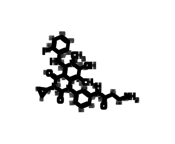 CC1=c2c(c(=O)n(C3CC3)c(=O)n2-c2cccc(NC(=O)CCN)c2)=C(Nc2ccccc2F)N(C)C1O